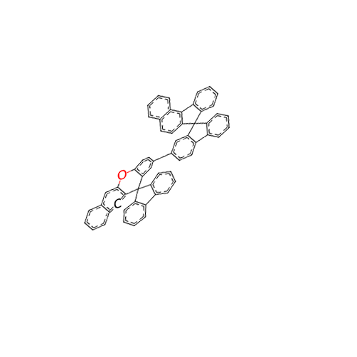 c1ccc2c(c1)-c1ccccc1C21c2cc(-c3ccc4c(c3)C3(c5ccccc5-4)c4ccccc4-c4c3ccc3ccccc43)ccc2Oc2cc3ccccc3cc21